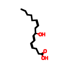 CCCCC/C=C\C[C@@H](O)/C=C/C=C\CCC(=O)O